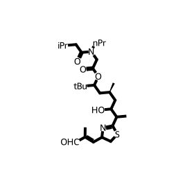 CCCN(CC(=O)OC(C[C@@H](C)CC(O)C(C)C1=NC(/C=C(\C)C=O)CS1)C(C)(C)C)C(=O)CC(C)C